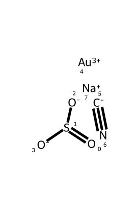 O=S([O-])[O-].[Au+3].[C-]#N.[Na+]